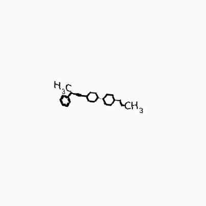 CCC[C@H]1CC[C@H](C2CCC(C#CC(C)c3ccccc3)CC2)CC1